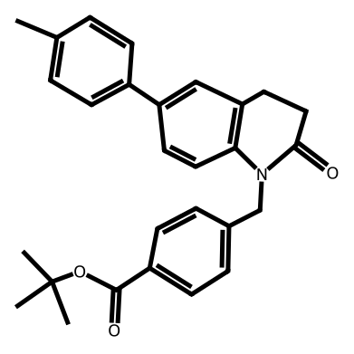 Cc1ccc(-c2ccc3c(c2)CCC(=O)N3Cc2ccc(C(=O)OC(C)(C)C)cc2)cc1